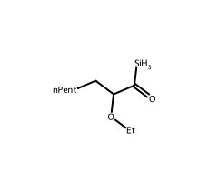 CCCCCCC(OCC)C(=O)[SiH3]